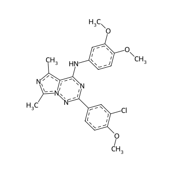 COc1ccc(-c2nc(Nc3ccc(OC)c(OC)c3)c3c(C)nc(C)n3n2)cc1Cl